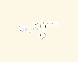 CCOC(=O)c1cn(-c2ccc(F)cc2)c2c(F)c(N3CCC(n4ccnn4)C3)c(F)cc2c1=O